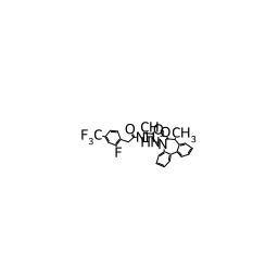 CC1C(=O)N(NC(=O)[C@H](C)NC(=O)Cc2ccc(C(F)(F)F)cc2F)c2ccccc2-c2ccccc21